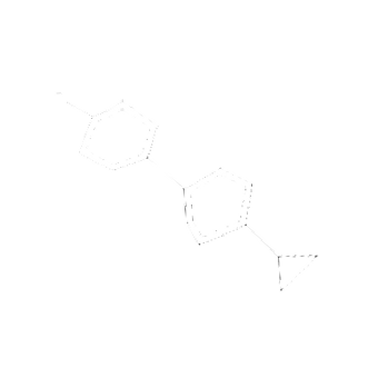 Fc1ccc(-c2c[c]c(C3CC3)cc2)cc1